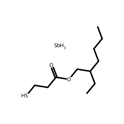 CCCCC(CC)COC(=O)CCS.[SbH3]